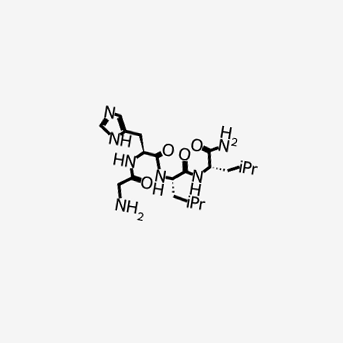 CC(C)C[C@H](NC(=O)[C@H](CC(C)C)NC(=O)[C@H](Cc1cnc[nH]1)NC(=O)CN)C(N)=O